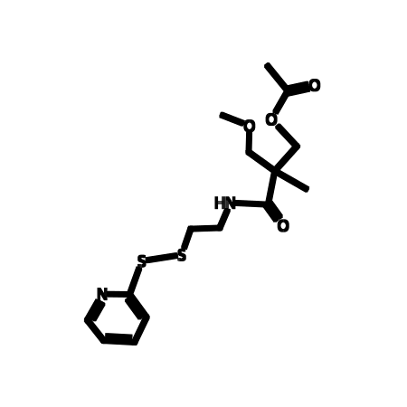 COCC(C)(COC(C)=O)C(=O)NCCSSc1ccccn1